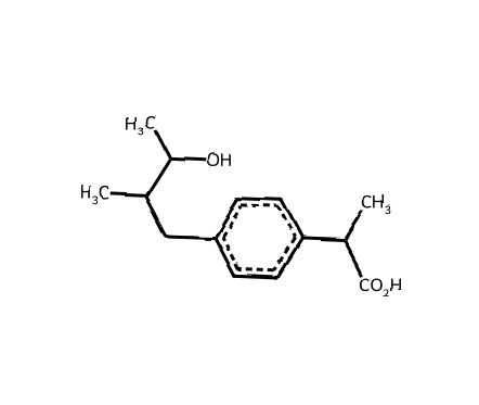 CC(C(=O)O)c1ccc(CC(C)C(C)O)cc1